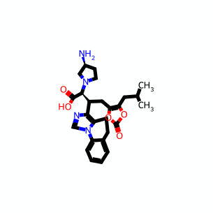 CC(C)Cc1oc(=O)oc1CC(c1ncn2c1CCc1ccccc1-2)[C@@H](C(=O)O)N1CC[C@H](N)C1